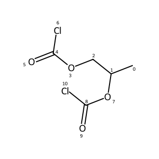 CC(COC(=O)Cl)OC(=O)Cl